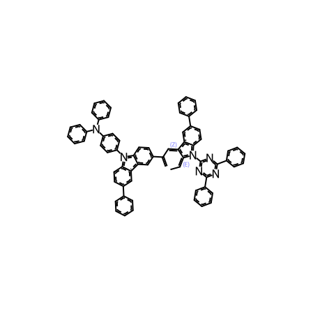 C=C(/C=c1\c(=C/C)n(-c2nc(-c3ccccc3)nc(-c3ccccc3)n2)c2ccc(-c3ccccc3)cc12)c1ccc2c(c1)c1cc(-c3ccccc3)ccc1n2-c1ccc(N(c2ccccc2)c2ccccc2)cc1